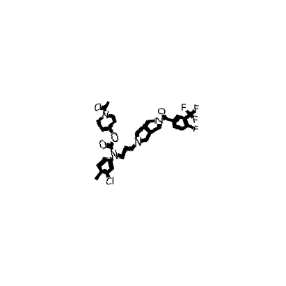 CC(=O)N1CCC(OC(=O)N(CCCN2CC3CN(C(=O)c4ccc(F)c(C(F)(F)F)c4)CC3C2)c2ccc(C)c(Cl)c2)CC1